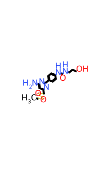 CCS(=O)(=O)Cc1cc(N)nc(-c2ccc(NC(=O)NCCCO)cc2)n1